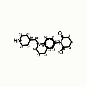 O=C1CCCC(=O)N1c1ccc2c(c1)CCCN2CC1CCNCC1